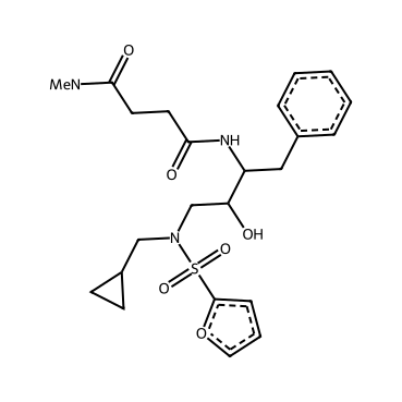 CNC(=O)CCC(=O)NC(Cc1ccccc1)C(O)CN(CC1CC1)S(=O)(=O)c1ccco1